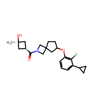 C[C@]1(O)C[C@@H](C(=O)N2CC3(CCC(Oc4cccc(C5CC5)c4F)C3)C2)C1